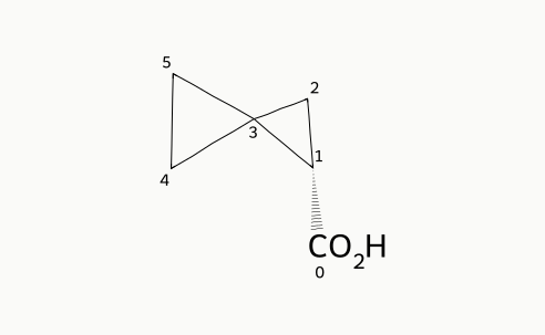 O=C(O)[C@H]1CC12CC2